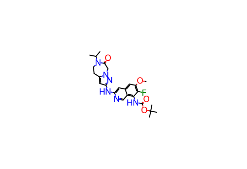 COc1cc2cc(Nc3cc4n(n3)CC(=O)N(C(C)C)CC4)ncc2c(NC(=O)OC(C)(C)C)c1F